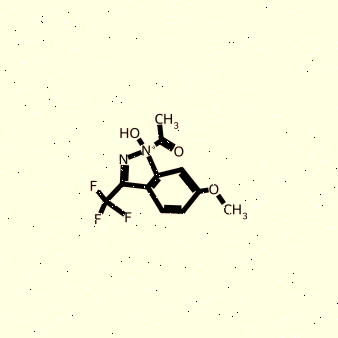 COc1ccc2c(c1)[N+](O)(C(C)=O)N=C2C(F)(F)F